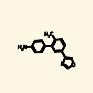 Cc1ccc(-c2cocn2)cc1-c1ccc(N)cc1